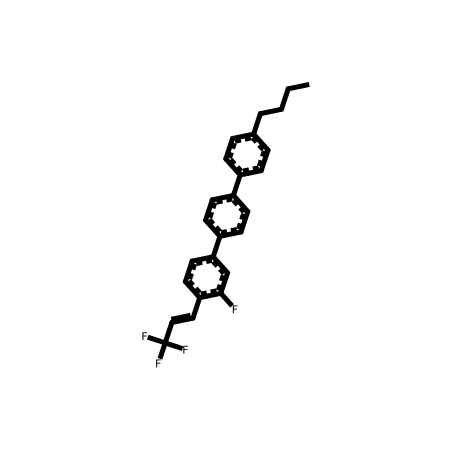 CCCCc1ccc(-c2ccc(-c3ccc(/C=C/C(F)(F)F)c(F)c3)cc2)cc1